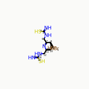 Br.Br.N=C(S)NCc1cccc(CNC(=N)S)n1